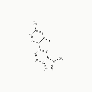 CC(=O)C1=CC(C)C(c2ccc3nnc(C(F)(F)F)n3c2)C=C1